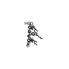 CCCCCCOc1ccc(N(c2ccc(-c3ccc(OC=O)c4nn(CC(CC)CCCC)nc34)s2)c2ccc(-c3ccc(C(=O)O)c4nn(CC(CC)CCCC)nc34)s2)cc1